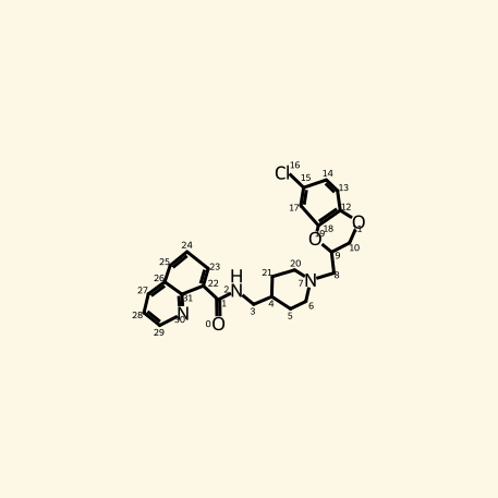 O=C(NCC1CCN(CC2COc3ccc(Cl)cc3O2)CC1)c1cccc2cccnc12